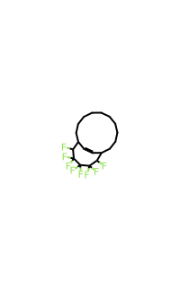 FC1C2C=CC(CCCCCCCCCC2)C(F)C(F)(F)C(F)(F)C1(F)F